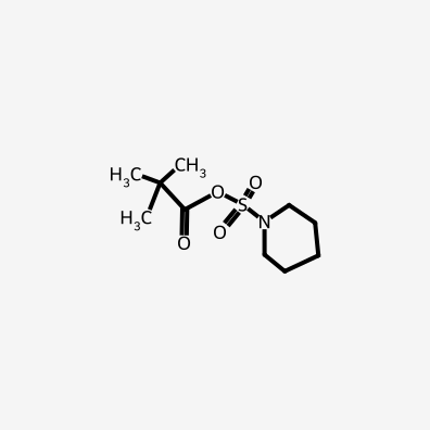 CC(C)(C)C(=O)OS(=O)(=O)N1CCCCC1